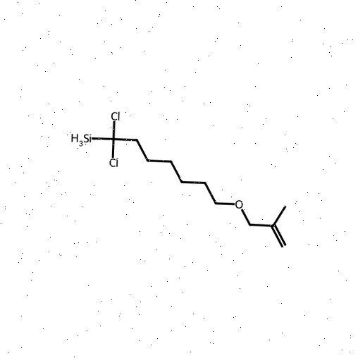 C=C(C)COCCCCCCC([SiH3])(Cl)Cl